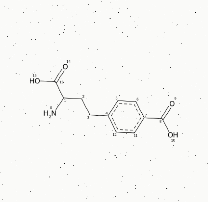 NC(CCc1ccc(C(=O)O)cc1)C(=O)O